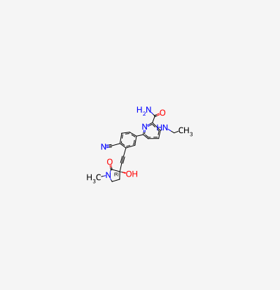 CCNc1ccc(-c2ccc(C#N)c(C#C[C@]3(O)CCN(C)C3=O)c2)nc1C(N)=O